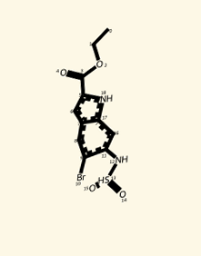 CCOC(=O)c1cc2cc(Br)c(N[SH](=O)=O)cc2[nH]1